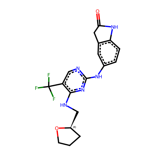 O=C1Cc2cc(Nc3ncc(C(F)(F)F)c(NC[C@H]4CCCO4)n3)ccc2N1